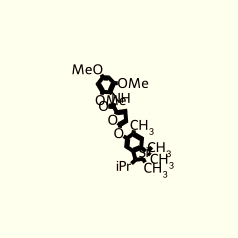 COc1cc(OC)c(NC(=O)c2ccc(Oc3cc4c(cc3C)[Si](C)(C)C(C)C4C(C)C)o2)c(OC)c1